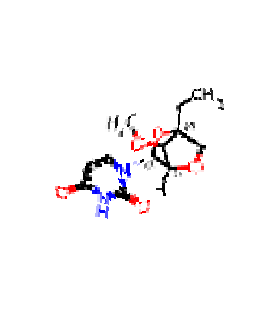 CC[C@@]12CO[C@@H](C1OC)[C@H](n1ccc(=O)[nH]c1=O)O2